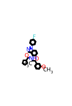 COc1cccc([C@@H](Oc2ccc3c(cnn3-c3ccc(F)cc3)c2)[C@H](C)NC(=O)C2CCCC2)c1